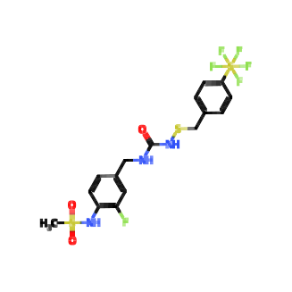 CS(=O)(=O)Nc1ccc(CNC(=O)NSCc2ccc(S(F)(F)(F)(F)F)cc2)cc1F